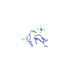 CCCCc1[nH]cc[n+]1C.CCCCn1cc[n+](C)c1.F[B-](F)(F)F.[Cl-]